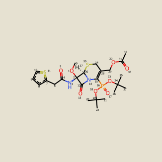 CO[C@@]1(NC(=O)Cc2cccs2)C(=O)N2C(P(=O)(OC(C)(C)C)OC(C)(C)C)=C(COC(C)=O)CS[C@@H]21